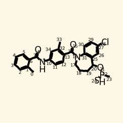 Cc1ccccc1C(=O)Nc1ccc(C(=O)N2CCCC(O[PH](C)=S)c3cc(Cl)ccc32)c(C)c1